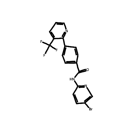 O=C(Nc1ccc(Br)cn1)c1ccc(-c2ncccc2C(F)(F)F)cc1